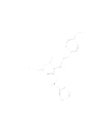 COc1ccc(C=CC(=O)c2c(OC)cc(OC)cc2OC(=O)c2cnccn2)cc1